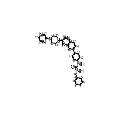 O=C(NCc1ccccc1)Nc1ccc(-c2ccc3ncc(N4CCN(c5cnccn5)CC4)nc3c2)cc1